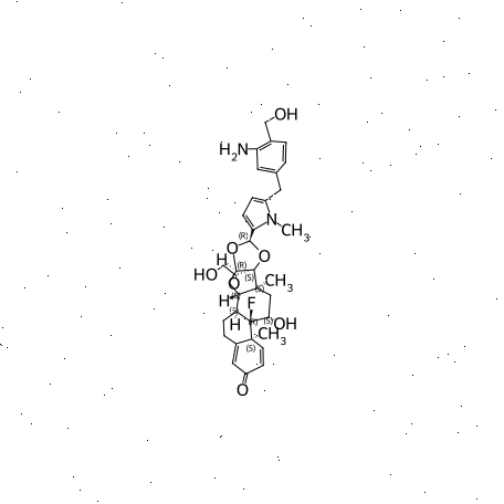 Cn1c(Cc2ccc(CO)c(N)c2)ccc1[C@@H]1O[C@@H]2C[C@H]3[C@@H]4CCC5=CC(=O)C=C[C@]5(C)[C@@]4(F)[C@@H](O)C[C@]3(C)[C@]2(C(=O)CO)O1